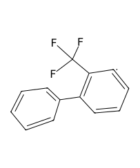 FC(F)(F)c1[c]cccc1-c1ccccc1